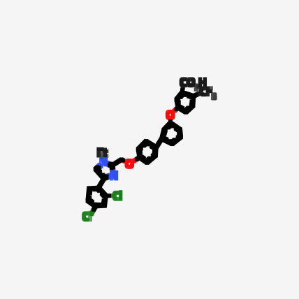 CCn1cc(-c2ccc(Cl)cc2Cl)nc1COc1ccc(-c2cccc(Oc3ccc(C(F)(F)F)c(C(=O)O)c3)c2)cc1